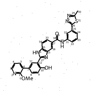 COc1ncccc1-c1ccc(O)c(-c2nc3cc(C(=O)Nc4cccc(-c5nnc(C)s5)c4)ccc3[nH]2)c1